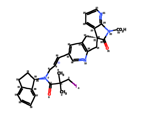 CC(C)(CI)C(=O)N(C/C=C/c1cnc2c(c1)C[C@@]1(C2)C(=O)N(C(=O)O)c2ncccc21)[C@@H]1CCc2ccccc21